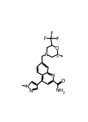 C[C@H]1CN(Cc2ccc3c(-c4cnn(C)c4)cc(C(N)=O)nc3c2)CC(C(F)(F)F)O1